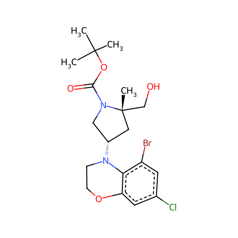 CC(C)(C)OC(=O)N1C[C@@H](N2CCOc3cc(Cl)cc(Br)c32)C[C@@]1(C)CO